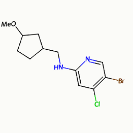 COC1CCC(CNc2cc(Cl)c(Br)cn2)C1